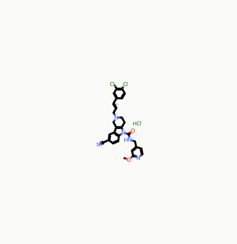 COc1cc(CNC(=O)n2c3c(c4cc(C#N)ccc42)CN(C/C=C/c2ccc(Cl)c(Cl)c2)CC3)ccn1.Cl